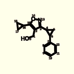 OCc1c(C2CC2c2ccccc2)noc1C1CC1